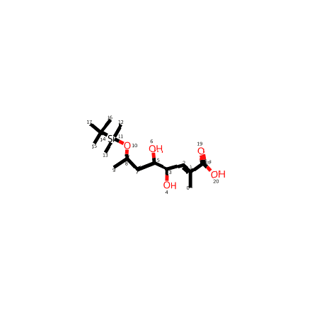 C/C(=C\C(O)C(O)CC(C)O[Si](C)(C)C(C)(C)C)C(=O)O